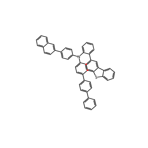 c1ccc(-c2ccc(-c3ccc(N(c4ccc(-c5ccc6ccccc6c5)cc4)c4ccccc4-c4ccc5sc6ccccc6c5c4)cc3)cc2)cc1